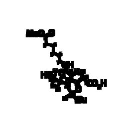 COC(=O)CCCCCNC(=O)c1ccc(C(=O)O)c(O[Si](C)(C)C(C)(C)C)c1CC(C)(C)[Si](C)(C)O